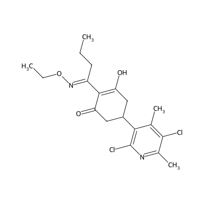 CCCC(=NOCC)C1=C(O)CC(c2c(Cl)nc(C)c(Cl)c2C)CC1=O